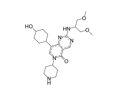 COCC(COC)Nc1ncc2c(=O)n(C3CCNCC3)cc(C3CCC(O)CC3)c2n1